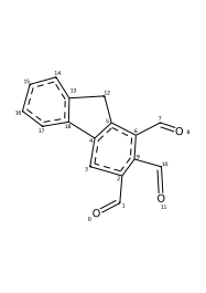 O=Cc1cc2c(c(C=O)c1C=O)Cc1ccccc1-2